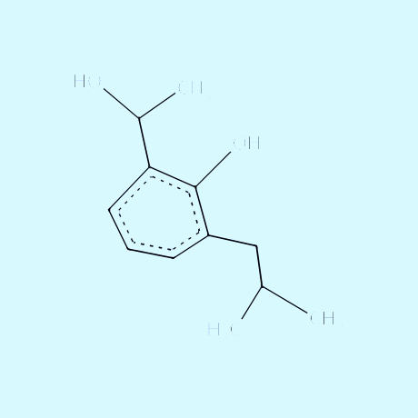 CC(C)Cc1cccc(C(C)O)c1O